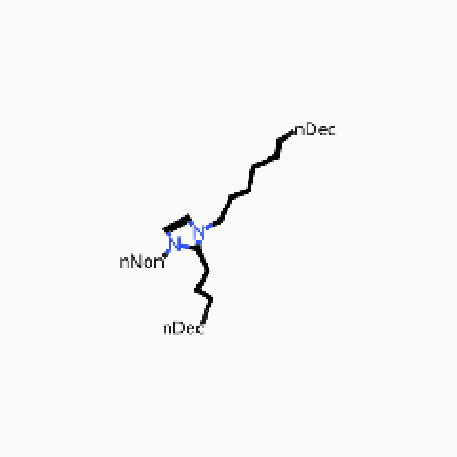 CCCCCCCCCCCCCCCCN1C=CN(CCCCCCCCC)C1CCCCCCCCCCCCC